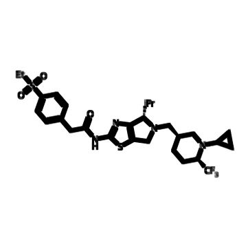 CCS(=O)(=O)c1ccc(CC(=O)Nc2nc3c(s2)CN(C[C@@H]2CC[C@H](C(F)(F)F)N(C4CC4)C2)[C@H]3C(C)C)cc1